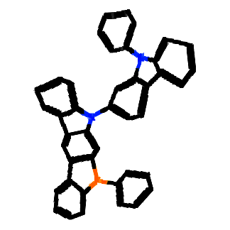 c1ccc(-n2c3ccccc3c3ccc(-n4c5ccccc5c5cc6c7ccccc7p(-c7ccccc7)c6cc54)cc32)cc1